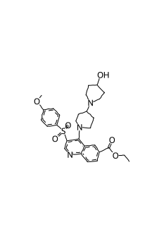 CCOC(=O)c1ccc2ncc(S(=O)(=O)c3ccc(OC)cc3)c(N3CCC(N4CCC(O)CC4)CC3)c2c1